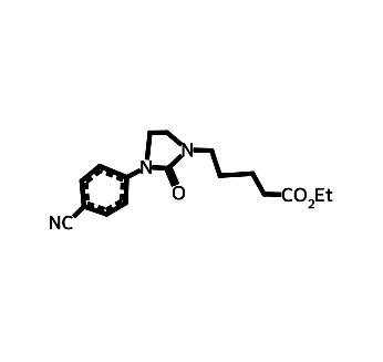 CCOC(=O)CCCCN1CCN(c2ccc(C#N)cc2)C1=O